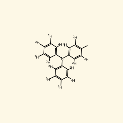 [2H]c1c([2H])c([2H])c(N(c2c([2H])c([2H])c([2H])c([2H])c2[2H])c2c([2H])c([2H])c(I)c([2H])c2[2H])c([2H])c1[2H]